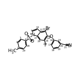 Cc1ccc(S(=O)(=O)n2ccc3c(Br)c(Oc4cccc(C#N)c4)c(F)cc32)cc1